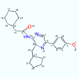 COc1ccc(-c2cnc(NC(=O)CC3CCCCC3)c(CC3CCCC3)n2)cc1